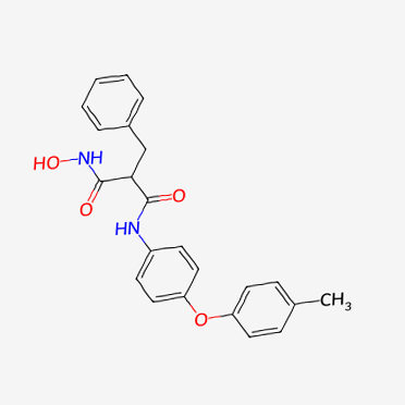 Cc1ccc(Oc2ccc(NC(=O)C(Cc3ccccc3)C(=O)NO)cc2)cc1